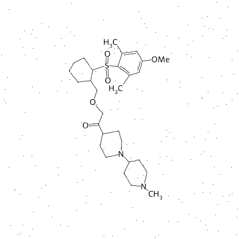 COc1cc(C)c(S(=O)(=O)C2CCCCC2COCC(=O)C2CCN(C3CCN(C)CC3)CC2)c(C)c1